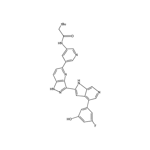 CC(C)(C)CC(=O)Nc1cncc(-c2ccc3[nH]nc(-c4cc5c(-c6cc(O)cc(F)c6)cncc5[nH]4)c3n2)c1